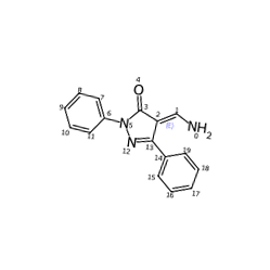 N/C=C1/C(=O)N(c2ccccc2)N=C1c1ccccc1